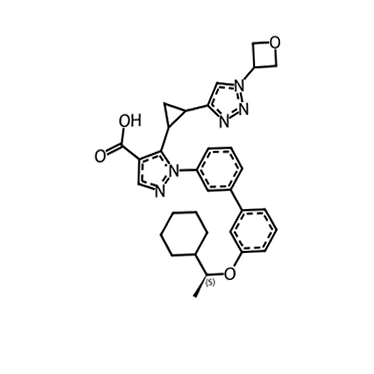 C[C@H](Oc1cccc(-c2cccc(-n3ncc(C(=O)O)c3C3CC3c3cn(C4COC4)nn3)c2)c1)C1CCCCC1